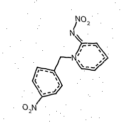 O=[N+]([O-])N=c1ccccn1Cc1ccc([N+](=O)[O-])cc1